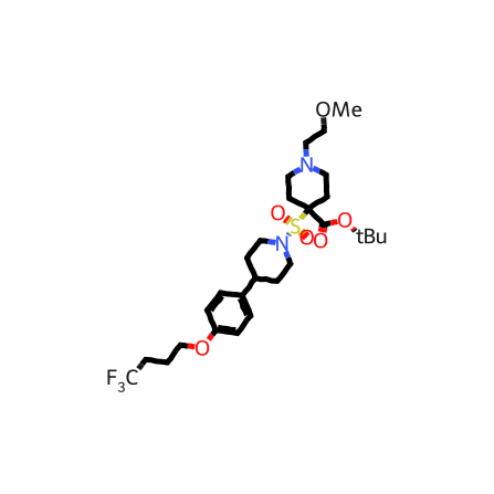 COCCN1CCC(C(=O)OC(C)(C)C)(S(=O)(=O)N2CCC(c3ccc(OCCCC(F)(F)F)cc3)CC2)CC1